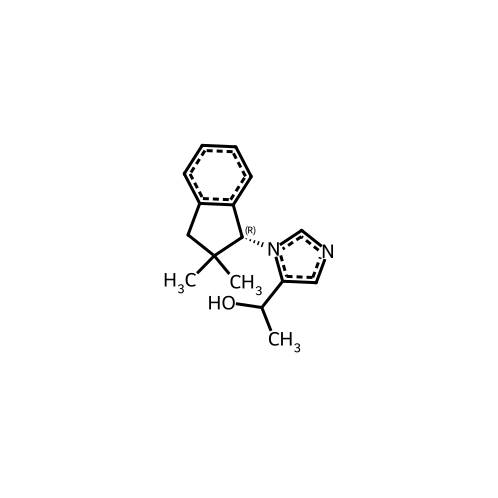 CC(O)c1cncn1[C@H]1c2ccccc2CC1(C)C